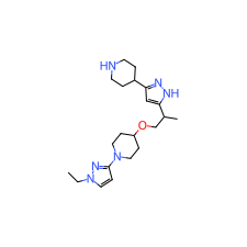 CCn1ccc(N2CCC(OCC(C)c3cc(C4CCNCC4)n[nH]3)CC2)n1